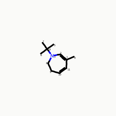 CC1=CN(C(C)(C)C)CCC=C1